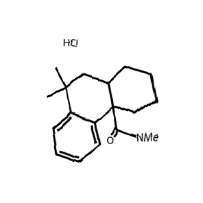 CNC(=O)C12CCCCC1CC(C)(C)c1ccccc12.Cl